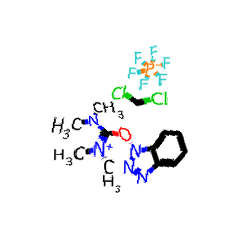 CN(C)C(On1nnc2ccccc21)=[N+](C)C.ClCCl.F[P-](F)(F)(F)(F)F